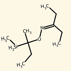 CCC(CC)=NOC(C)(CC)[SiH2]C